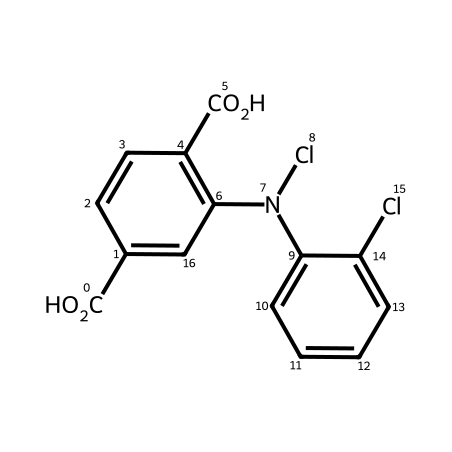 O=C(O)c1ccc(C(=O)O)c(N(Cl)c2ccccc2Cl)c1